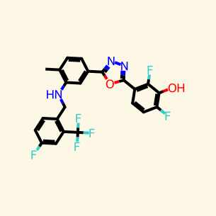 Cc1ccc(-c2nnc(-c3ccc(F)c(O)c3F)o2)cc1NCc1ccc(F)cc1C(F)(F)F